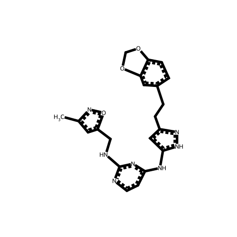 Cc1cc(CNc2nccc(Nc3cc(CCc4ccc5c(c4)OCO5)n[nH]3)n2)on1